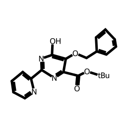 CC(C)(C)OC(=O)c1nc(-c2ccccn2)nc(O)c1OCc1ccccc1